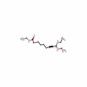 CCOC(=O)CCCCCC#CC(OCC)OCC